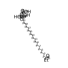 CCC1(CCCCCCCCCCCCCCCCCCCCOP(=O)(O)OP(=O)(O)O)CO1